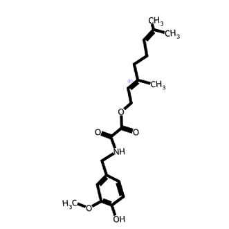 COc1cc(CNC(=O)C(=O)OC/C=C(\C)CCC=C(C)C)ccc1O